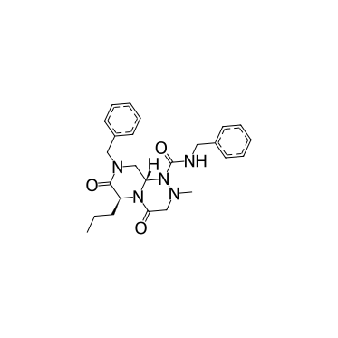 CCC[C@H]1C(=O)N(Cc2ccccc2)C[C@H]2N1C(=O)CN(C)N2C(=O)NCc1ccccc1